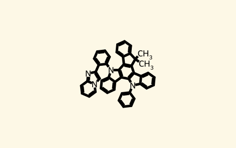 CC1(C)c2ccccc2-c2c1c1c3ccccc3n(-c3ccccc3)c1c1c3ccccc3n(-c3ccccc3-c3cn4ccccc4n3)c21